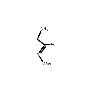 CO/N=C(/CN)C(C)=O